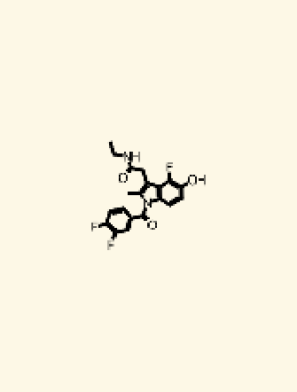 CCNC(=O)Cc1c(C)n(C(=O)c2ccc(F)c(F)c2)c2ccc(O)c(F)c12